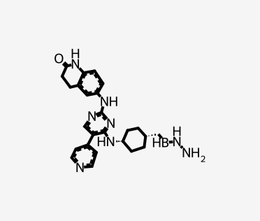 NNBC[C@H]1CC[C@@H](Nc2nc(Nc3ccc4c(c3)CCC(=O)N4)ncc2-c2ccncc2)CC1